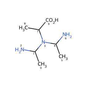 CC(N)N(C(C)N)C(C)C(=O)O